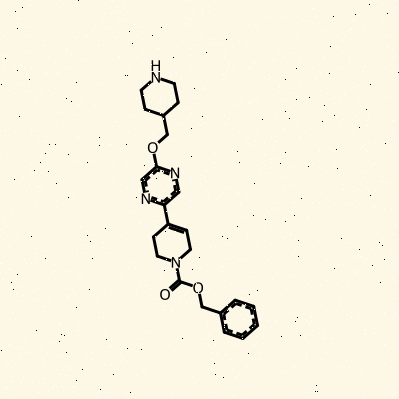 O=C(OCc1ccccc1)N1CC=C(c2cnc(OCC3CCNCC3)cn2)CC1